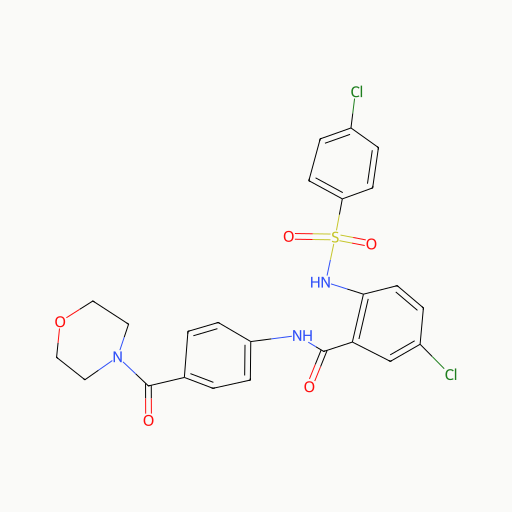 O=C(Nc1ccc(C(=O)N2CCOCC2)cc1)c1cc(Cl)ccc1NS(=O)(=O)c1ccc(Cl)cc1